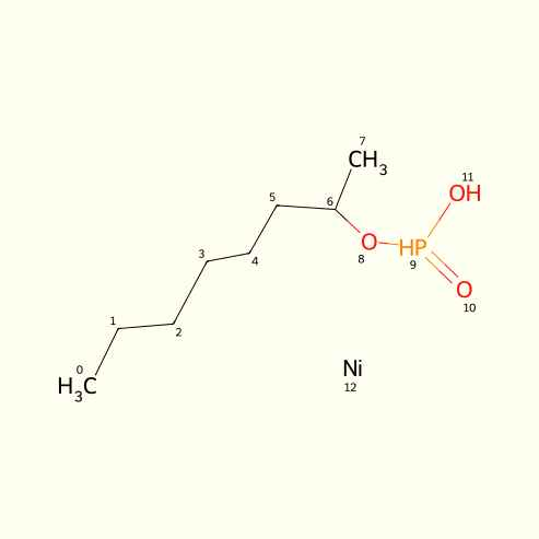 CCCCCCC(C)O[PH](=O)O.[Ni]